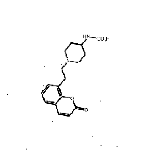 O=C(O)NC1CCN(CCc2cccc3ccc(=O)oc23)CC1